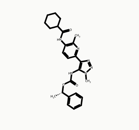 Cc1nc(-c2nnn(C)c2NC(=O)O[C@@H](C)c2ccccc2)ccc1NC(=O)C1CCCCC1